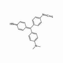 CN(C)c1ccc(C(=C2C=CC(=N)C=C2)c2ccc(N=C=S)cc2)cc1